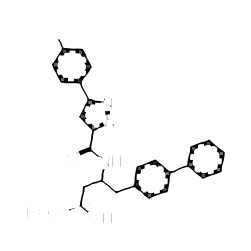 O=C(NC(Cc1ccc(-c2ccccc2)cc1)C[C@@H](O)C(=O)O)c1cc(-c2ccc(F)cc2)n[nH]1